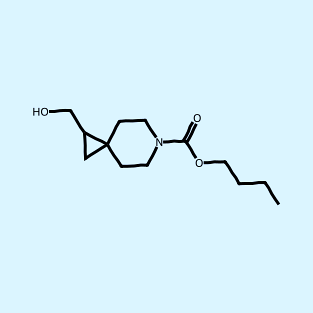 CCCCOC(=O)N1CCC2(CC1)CC2CO